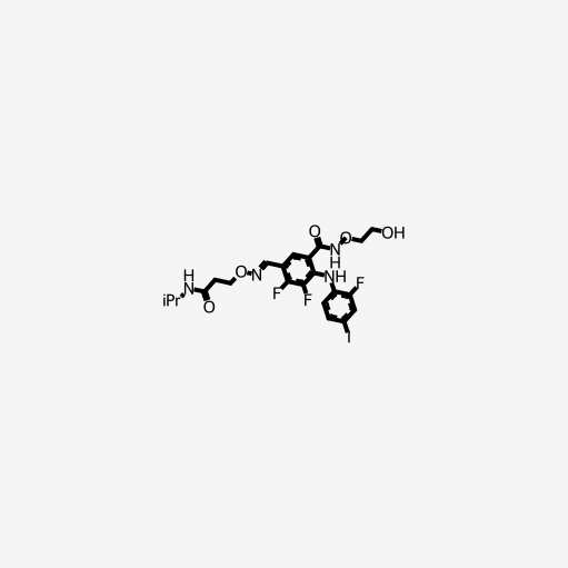 CC(C)NC(=O)CCO/N=C/c1cc(C(=O)NOCCO)c(Nc2ccc(I)cc2F)c(F)c1F